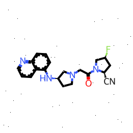 N#C[C@@H]1C[C@H](F)CN1C(=O)CN1CC[C@@H](Nc2cccc3ncccc23)C1